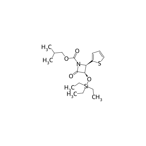 CC[Si](CC)(CC)O[C@H]1C(=O)N(C(=O)OCC(C)C)[C@H]1c1cccs1